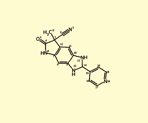 CC1(C#N)C(=O)Nc2cc3c(cc21)NC(c1ccncc1)N3